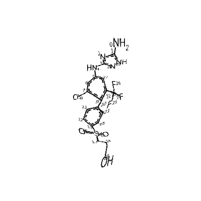 Nc1nc(Nc2cc(Cl)c(-c3ccc(S(=O)(=O)CCO)cc3)c(C(F)(F)F)c2)n[nH]1